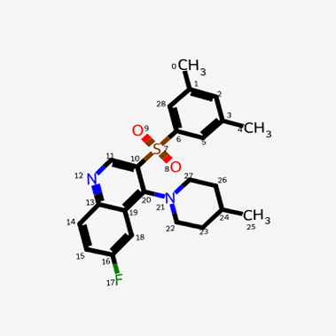 Cc1cc(C)cc(S(=O)(=O)c2cnc3ccc(F)cc3c2N2CCC(C)CC2)c1